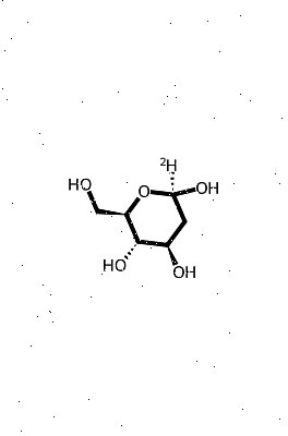 [2H][C@]1(O)C[C@@H](O)[C@H](O)[C@@H](CO)O1